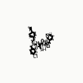 C#Cc1ccc(CCN(Cc2ccc(Cl)cc2)c2nc(C(=O)NS(=O)(=O)Cc3cccnc3)c(C)s2)cc1